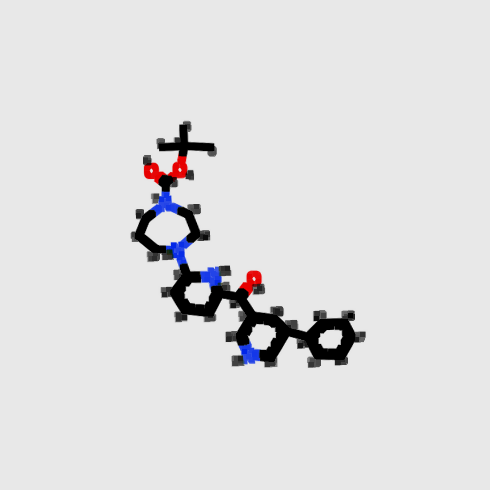 CC(C)(C)OC(=O)N1CCCN(c2cccc(C(=O)c3cncc(-c4ccccc4)c3)n2)CC1